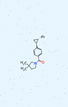 CC(C)[C@H]1C[C@@H]1c1ccc(C(=O)N2CCC(C)(C)C2)cc1